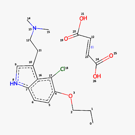 CCCOc1ccc2[nH]cc(CCN(C)C)c2c1Cl.O=C(O)/C=C/C(=O)O